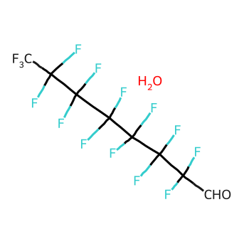 O.O=CC(F)(F)C(F)(F)C(F)(F)C(F)(F)C(F)(F)C(F)(F)C(F)(F)F